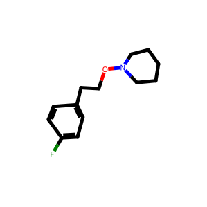 Fc1ccc(CCON2CCCCC2)cc1